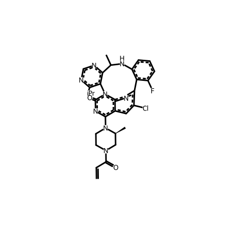 C=CC(=O)N1CCN(c2nc(=O)n3c4nc(c(Cl)cc24)-c2c(F)cccc2NC(C)c2ncnc(C(C)C)c2-3)[C@@H](C)C1